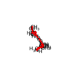 CCNC(=O)C#Cc1ccc2c(c1)NC(=O)/C2=C(\Nc1ccc(CNCCOCCOCCOCCOCC(=O)N[C@H](C(=O)N2C[C@H](O)C[C@H]2C(=O)NCc2ccc(-c3scnc3C)cc2)C(C)(C)C)cc1)c1ccccc1